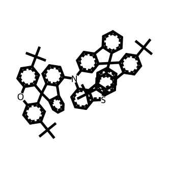 CC(C)(C)c1ccc2c(c1)C1(c3cc(C(C)(C)C)ccc3O2)c2ccccc2-c2c(N(c3ccc4c(c3)C3(c5ccccc5-4)c4cc(C(C)(C)C)ccc4-c4ccc(C(C)(C)C)cc43)c3cccc4sc5ccccc5c34)cccc21